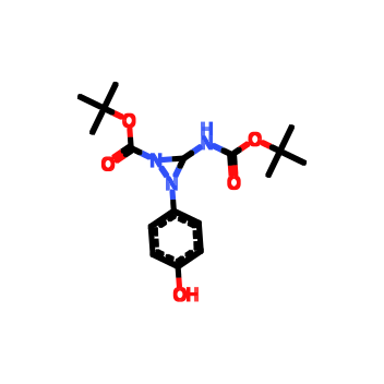 CC(C)(C)OC(=O)NC1N(C(=O)OC(C)(C)C)N1c1ccc(O)cc1